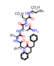 CC(C)[C@H](NC(=O)C(Cc1ccccc1)Cc1ccccc1)C(=O)N[C@H](C(=O)N[C@@H](CC(N)=O)C(=O)N[C@@H](CC(=O)O)C(=O)N[C@@H](CC(C)(C)C)C(=O)O)C(C)C